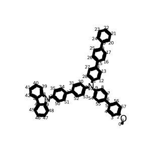 COc1ccc(-c2ccc(N(c3ccc(-c4ccc(-c5ccccc5)cc4)cc3)c3ccc(-c4ccc(-n5c6ccccc6c6ccccc65)cc4)cc3)cc2)cc1